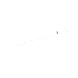 CCCCCCCCCCCCCC(=O)ON1CC1